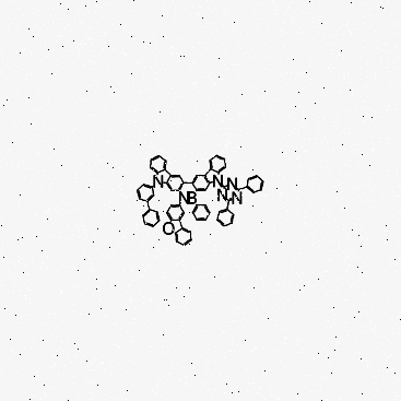 c1ccc(B2c3cc4c(cc3-c3cc5c6ccccc6n(-c6cccc(-c7ccccc7)c6)c5cc3N2c2ccc3oc5ccccc5c3c2)c2ccccc2n4-c2nc(-c3ccccc3)nc(-c3ccccc3)n2)cc1